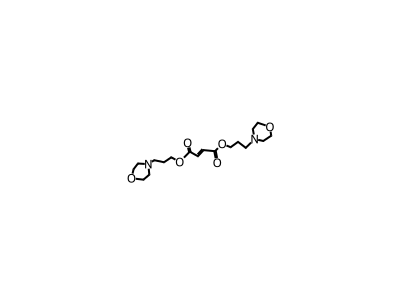 O=C(C=CC(=O)OCCCN1CCOCC1)OCCCN1CCOCC1